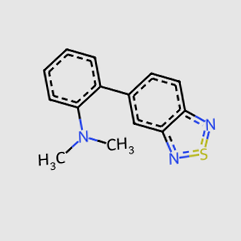 CN(C)c1ccccc1-c1ccc2nsnc2c1